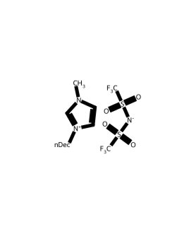 CCCCCCCCCC[n+]1ccn(C)c1.O=S(=O)([N-]S(=O)(=O)C(F)(F)F)C(F)(F)F